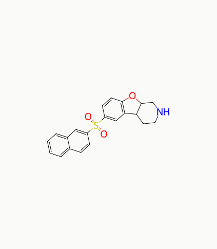 O=S(=O)(c1ccc2c(c1)C1CCNCC1O2)c1ccc2ccccc2c1